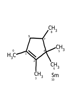 CC1=C(C)C(C)(C)C(C)C1.[Sm]